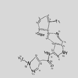 COc1cccc(F)c1-c1cc2c(NC(=O)c3cnn(C)c3)n[nH]c2cn1